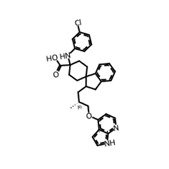 C[C@@H](COc1ccnc2[nH]ccc12)CC1Cc2ccccc2C12CCC(Nc1cccc(Cl)c1)(C(=O)O)CC2